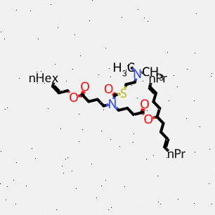 CCC/C=C/CCC(CC/C=C/CCC)OC(=O)CCCN(CCCC(=O)OC/C=C\CCCCCC)C(=O)SCCN(C)C